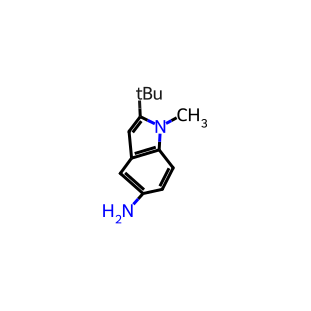 Cn1c(C(C)(C)C)cc2cc(N)ccc21